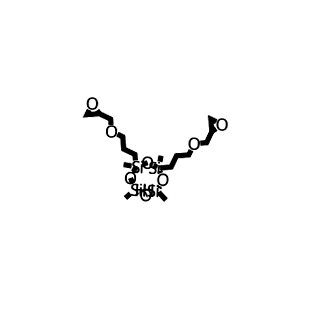 C[SiH]1O[SiH](C)O[Si](C)(CCCOCC2CO2)O[Si](C)(CCCOCC2CO2)O1